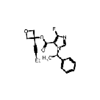 CCC#CC1(OC(=O)c2c(F)ncn2[C@H](C)c2ccccc2)COC1